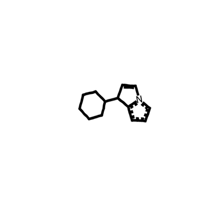 C1=Cn2cccc2C1C1CCCCC1